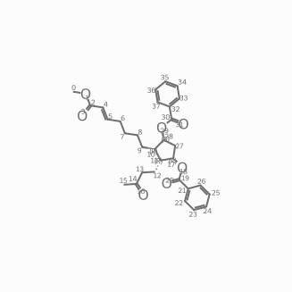 COC(=O)C=CCCCC[C@@H]1[C@@H](CCC(C)=O)[C@H](OC(=O)c2ccccc2)C[C@@H]1OC(=O)c1ccccc1